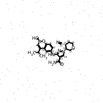 CC(C)C1=CB(O)Oc2ccc(Nc3nn([C@@H]4COCC[C@H]4C#N)cc3C(N)=O)cc21